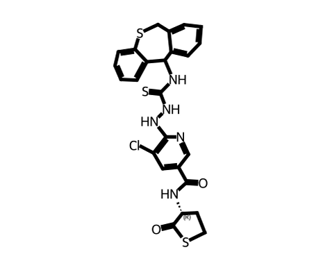 O=C(N[C@@H]1CCSC1=O)c1cnc(NNC(=S)NC2c3ccccc3CSc3ccccc32)c(Cl)c1